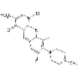 CCn1cc(C(=O)O)c(=O)c2cc3cc(F)c(N4CCN(C)CC4)c(F)c3nc21